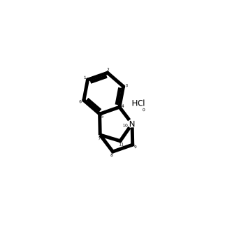 Cl.c1ccc2c(c1)C1CCN2C1